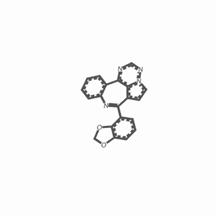 c1ccc2c(c1)N=C(c1cccc3c1OCO3)c1ccn3ncnc-2c13